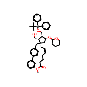 COC(=O)CCC/C=C\C[C@@]1(Cc2ccc(-c3ccccc3)cc2)C[C@@H](OC2CCCCO2)[C@H](CO[Si](c2ccccc2)(c2ccccc2)C(C)(C)C)[C@H]1CO